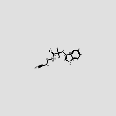 CC(C)(Cc1csc2ccccc12)C(=O)NCCC#N